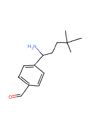 CC(C)(C)CCC(N)c1ccc(C=O)cc1